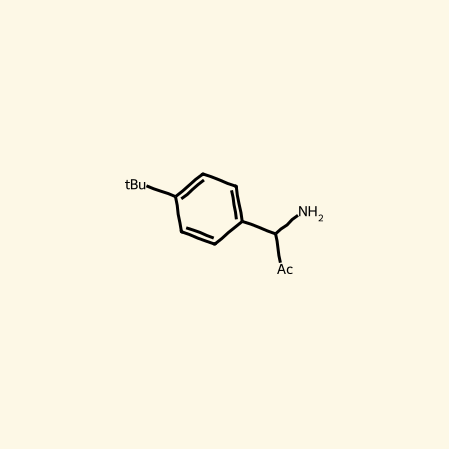 CC(=O)C(N)c1ccc(C(C)(C)C)cc1